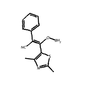 BOC(=C(C#N)c1ccccc1)c1sc(C)nc1C